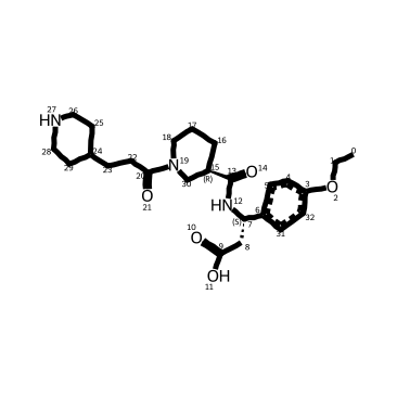 CCOc1ccc([C@H](CC(=O)O)NC(=O)[C@@H]2CCCN(C(=O)CCC3CCNCC3)C2)cc1